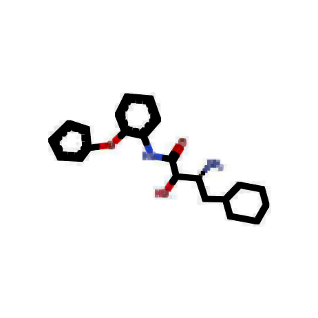 N[C@H](CC1CCCCC1)C(O)C(=O)Nc1ccccc1Oc1ccccc1